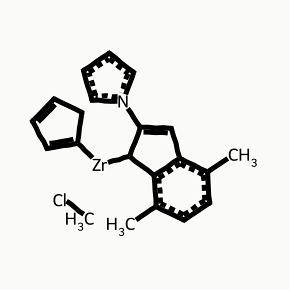 CCl.Cc1ccc(C)c2c1C=C(n1cccc1)[CH]2[Zr][C]1=CC=CC1